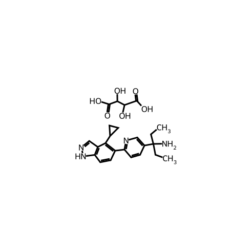 CCC(N)(CC)c1ccc(-c2ccc3[nH]ncc3c2C2CC2)nc1.O=C(O)C(O)C(O)C(=O)O